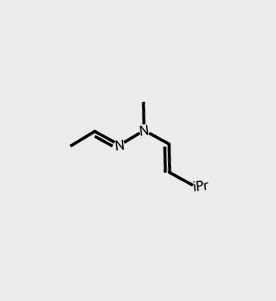 CC=NN(C)/C=C/C(C)C